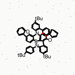 CC(C)(C)c1ccc(N2B3c4ccc5c(oc6ccccc65)c4N(c4ccc(C(C)(C)C)cc4-c4ccccc4)c4cc5c(oc6ccccc65)c(c43)-c3ccc(C(C)(C)C)cc32)cc1